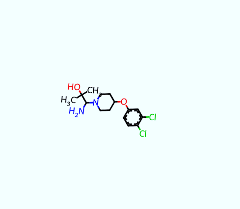 CC(C)(O)C(N)N1CCC(Oc2ccc(Cl)c(Cl)c2)CC1